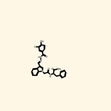 NC(=O)C(Cc1ccccc1)NC(=O)Cn1cc(/C=N/NC(=O)c2ccc(O)c(Cl)c2)c2ccccc21